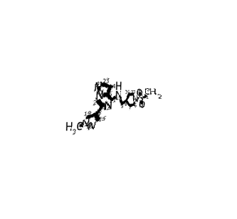 C=CS(=O)(=O)N1CCC(CNc2nc(-c3cnn(C)c3)cn3nccc23)CC1